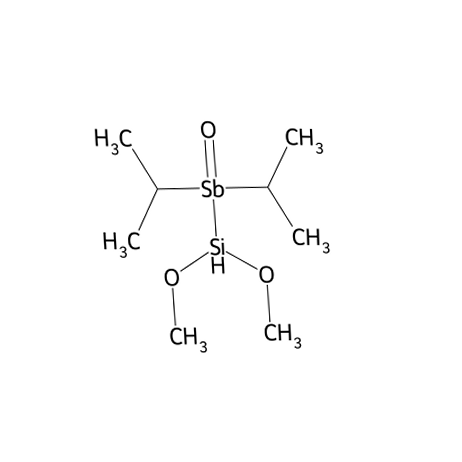 CO[SiH](OC)[Sb](=[O])([CH](C)C)[CH](C)C